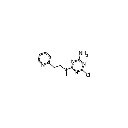 Nc1nc(Cl)nc(NCCc2ccccn2)n1